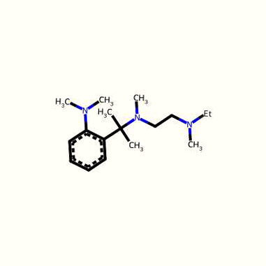 CCN(C)CCN(C)C(C)(C)c1ccccc1N(C)C